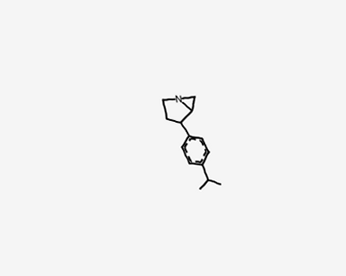 CC(C)c1ccc(C2CCN3CC23)cc1